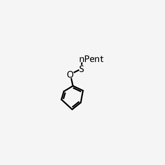 CCCCCSOc1ccccc1